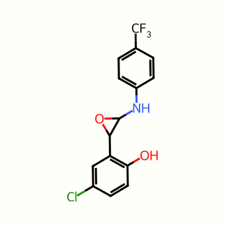 Oc1ccc(Cl)cc1C1OC1Nc1ccc(C(F)(F)F)cc1